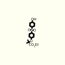 CCOC(=O)C(C)(C)Oc1ccc(S(=O)(=O)c2ccc(O)cc2)cc1